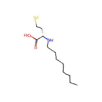 CCCCCCCCN[C@@H](CCS)C(=O)O